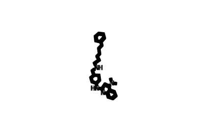 CN(C)c1cc(NC2CCC(CNCCCCCCc3ccccc3)CC2)nc2ccccc12